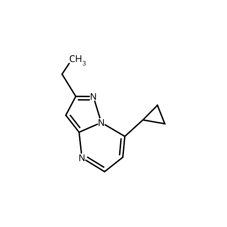 CCc1cc2nccc(C3CC3)n2n1